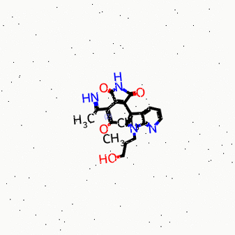 CO/C(C)=C(\C(C)=N)C1=C(c2cn(CCCO)c3ncccc23)C(=O)NC1=O